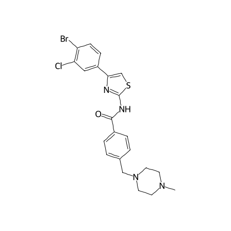 CN1CCN(Cc2ccc(C(=O)Nc3nc(-c4ccc(Br)c(Cl)c4)cs3)cc2)CC1